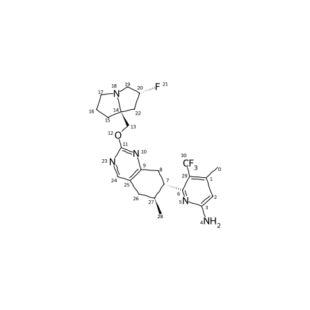 Cc1cc(N)nc([C@H]2Cc3nc(OC[C@@]45CCCN4C[C@H](F)C5)ncc3C[C@@H]2C)c1C(F)(F)F